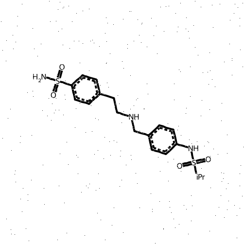 CC(C)S(=O)(=O)Nc1ccc(CNCCc2ccc(S(N)(=O)=O)cc2)cc1